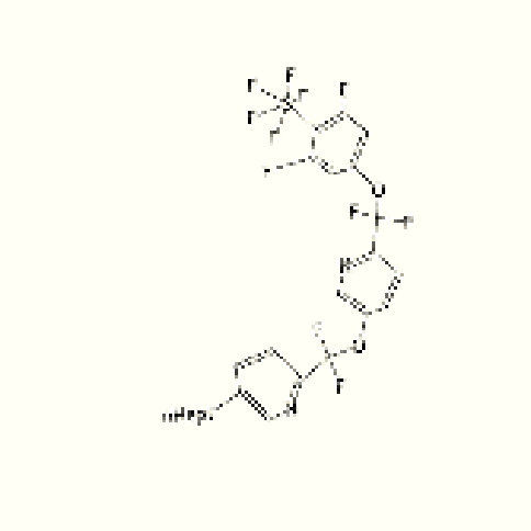 CCCCCCCc1ccc(C(F)(F)Oc2ccc(C(F)(F)Oc3cc(F)c(S(F)(F)(F)(F)F)c(F)c3)nc2)nc1